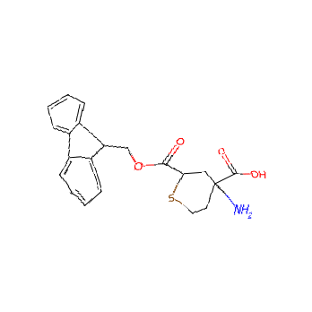 NC1(C(=O)O)CCSC(C(=O)OCC2c3ccccc3-c3ccccc32)C1